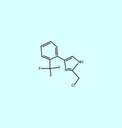 FC(F)(F)c1ccccc1-c1c[nH]c(CCl)n1